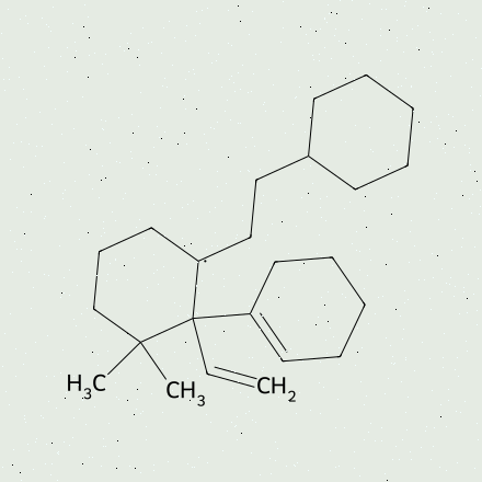 C=CC1(C2=CCCCC2)[C](CCC2CCCCC2)CCCC1(C)C